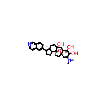 CN(C)[C@H]1C[C@@]23CC[C@]4(O2)C2CC=C(c5ccc6cnccc6c5)[C@@]2(C)CCC4(O)CC3[C@@H](O)[C@@H]1O